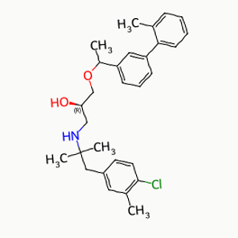 Cc1cc(CC(C)(C)NC[C@@H](O)COC(C)c2cccc(-c3ccccc3C)c2)ccc1Cl